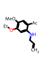 C=CCNc1cc(OCC)c(OC)cc1C(C)=O